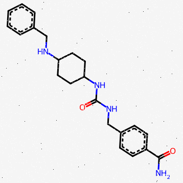 NC(=O)c1ccc(CNC(=O)NC2CCC(NCc3ccccc3)CC2)cc1